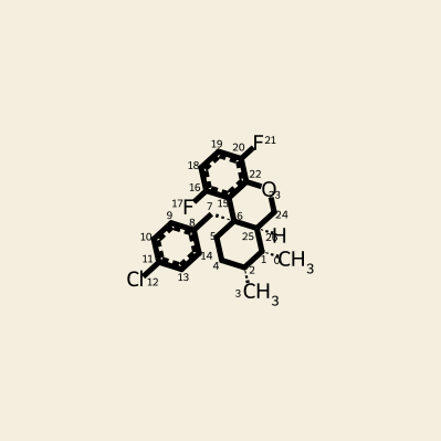 C[C@@H]1[C@H](C)CC[C@@]2(Cc3ccc(Cl)cc3)c3c(F)ccc(F)c3OC[C@@H]12